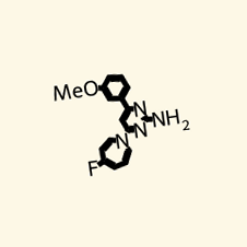 COc1cccc(-c2cc(N3C=CC=C(F)C=C3)nc(N)n2)c1